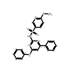 COc1ccc(S(=O)(=O)Nc2nc(Oc3ccccc3)cc(-c3ccccc3)n2)cn1